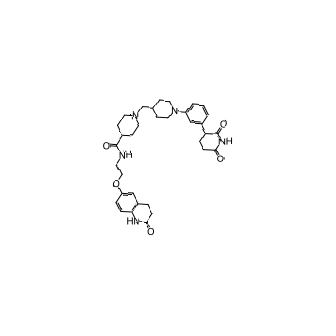 O=C1CCC(c2cccc(N3CCC(CN4CCC(C(=O)NCCOc5ccc6c(c5)CCC(=O)N6)CC4)CC3)c2)C(=O)N1